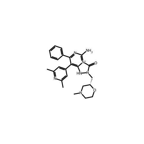 Cc1cc(-c2c(-c3ccccc3)nc(N)[n+]3c(=O)n(C[C@H]4CN(C)CCO4)[nH]c23)cc(C)n1